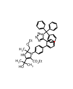 CCOCC1(C)NC(C(C)(C)O)=C(C(=O)OCC)N1c1ccc(-c2ccccc2-c2nnnn2C(c2ccccc2)(c2ccccc2)c2ccccc2)cc1